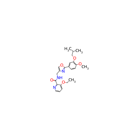 CCOc1cccnc1C(=O)NCc1coc(-c2ccc(OC)c(OCC(C)C)c2)n1